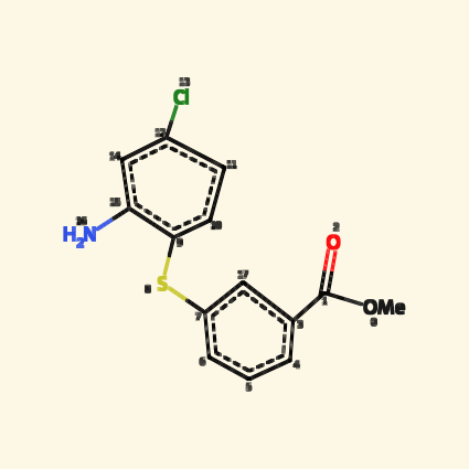 COC(=O)c1cccc(Sc2ccc(Cl)cc2N)c1